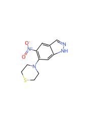 O=[N+]([O-])c1cc2cn[nH]c2cc1N1CCSCC1